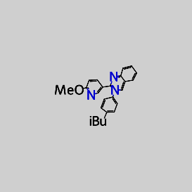 CCC(C)c1ccc(N2C=c3ccccc3=NC2c2ccc(OC)nc2)cc1